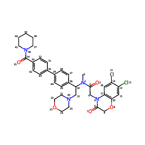 CN(C(=O)CN1C(=O)COc2cc(Cl)c(Cl)cc21)C(CN1CCOCC1)c1ccc(-c2ccc(C(=O)N3CCCCC3)cc2)cc1